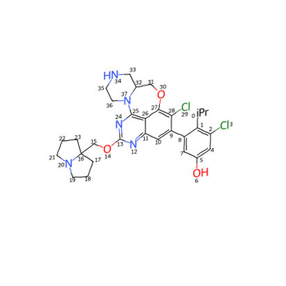 CC(C)c1c(Cl)cc(O)cc1-c1cc2nc(OCC34CCCN3CCC4)nc3c2c(c1Cl)OCC1CNCCN31